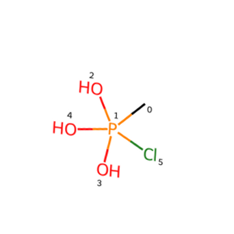 CP(O)(O)(O)Cl